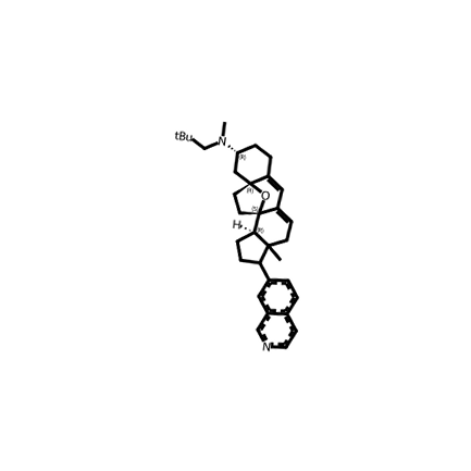 CN(CC(C)(C)C)[C@@H]1CCC2=CC3=CCC4(C)C(c5ccc6ccncc6c5)CC[C@H]4[C@@]34CC[C@]2(C1)O4